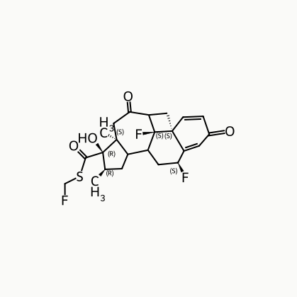 C[C@@H]1CC2C3C[C@H](F)C4=CC(=O)C=C[C@@]45CC(C(=O)C[C@]2(C)[C@@]1(O)C(=O)SCF)[C@@]35F